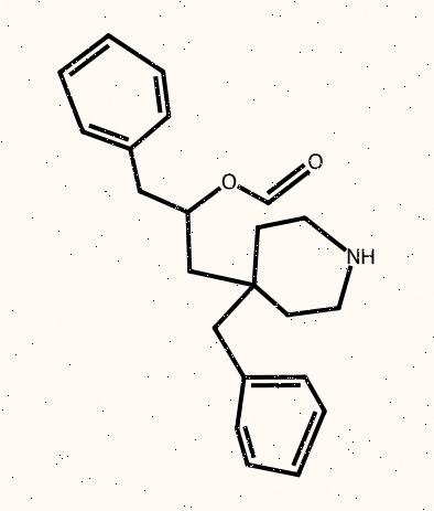 O=COC(Cc1ccccc1)CC1(Cc2ccccc2)CCNCC1